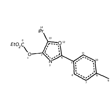 CCOC(=O)Oc1nc(-c2ccc(C)cc2)oc1C(C)C